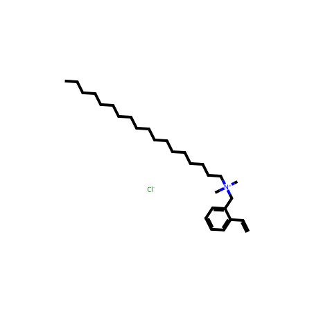 C=Cc1ccccc1C[N+](C)(C)CCCCCCCCCCCCCCCCCC.[Cl-]